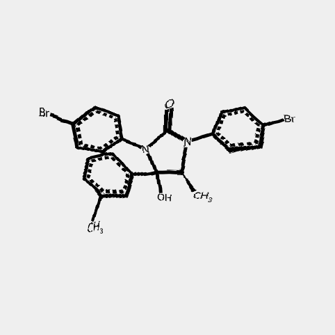 Cc1cccc(C2(O)[C@H](C)N(c3ccc(Br)cc3)C(=O)N2c2ccc(Br)cc2)c1